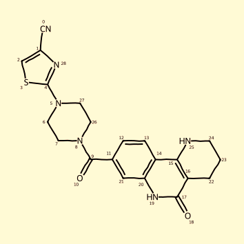 N#Cc1csc(N2CCN(C(=O)c3ccc4c5c(c(=O)[nH]c4c3)CCCN5)CC2)n1